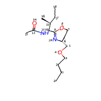 CCCCOC[C@H]1COC(C(NC(C)=O)[C@@H](C)CC)=N1